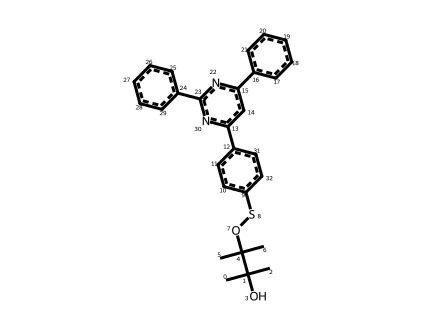 CC(C)(O)C(C)(C)OSc1ccc(-c2cc(-c3ccccc3)nc(-c3ccccc3)n2)cc1